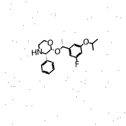 CC(C)Oc1cc(F)cc([C@@H](C)O[C@H]2OCCN[C@H]2c2ccccc2)c1